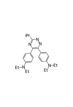 CCN(CC)c1ccc(-c2nnc(C(C)C)nc2-c2ccc(N(CC)CC)cc2)cc1